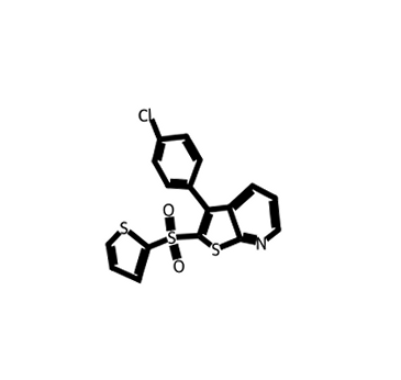 O=S(=O)(c1cccs1)c1sc2ncccc2c1-c1ccc(Cl)cc1